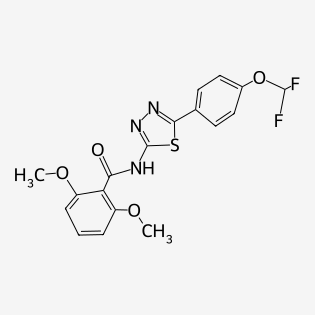 COc1cccc(OC)c1C(=O)Nc1nnc(-c2ccc(OC(F)F)cc2)s1